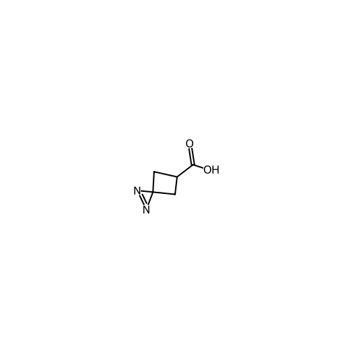 O=C(O)C1CC2(C1)N=N2